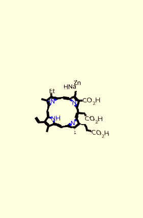 C=Cc1c(C)c2cc3nc(c(CC(=O)O)c4nc(cc5[nH]c(cc1[nH]2)c(C)c5CC)C(C)=C4C(=O)O)[C@@H](CCC(=O)O)[C@@H]3C.[NaH].[Zn]